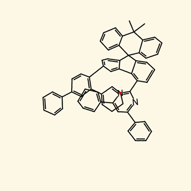 CC1(C)c2ccccc2C2(c3ccc(-c4ccc(-c5ccccc5)cc4C4=CCCC=C4)cc3-c3c(-c4nc(-c5ccccc5)cc(-c5ccccc5)n4)cccc32)c2ccccc21